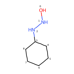 ONNC1CCCCC1